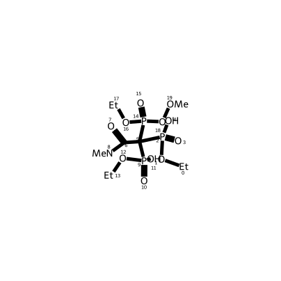 CCOP(=O)(O)C(C(=O)NC)(P(=O)(O)OCC)P(=O)(OCC)OOC